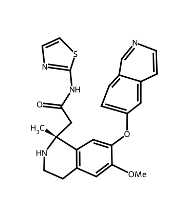 COc1cc2c(cc1Oc1ccc3cnccc3c1)[C@@](C)(CC(=O)Nc1nccs1)NCC2